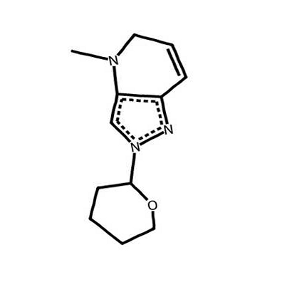 CN1CC=Cc2nn(C3CCCCO3)cc21